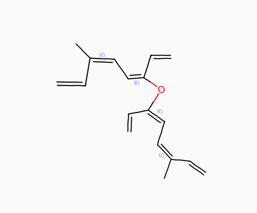 C=C/C(C)=C\C=C(/C=C)O/C(C=C)=C/C=C(/C)C=C